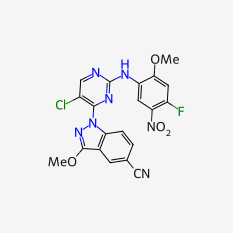 COc1cc(F)c([N+](=O)[O-])cc1Nc1ncc(Cl)c(-n2nc(OC)c3cc(C#N)ccc32)n1